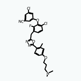 Cc1cc(OCCCN(C)C)ccc1-c1nnc(Cc2ccc(Cl)c(Oc3cc(Cl)cc(C#N)c3)c2F)o1